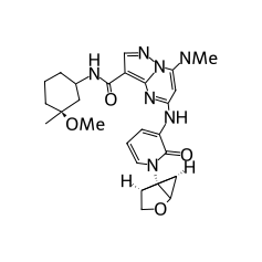 CNc1cc(Nc2cccn([C@]34C5OC[C@@H]3[C@H]54)c2=O)nc2c(C(=O)NC3CCC[C@](C)(OC)C3)cnn12